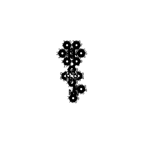 C1=CB2N3C=CC(c4cccc(B5N(c6ccccc6)B(c6ccccc6)N(c6ccccc6)B(c6ccccc6)N5c5ccccc5)c4)=CB3N3C=CC=CB3N3C=C(n4c5ccccc5n5c6ccccc6nc45)C=CB3N2C=C1